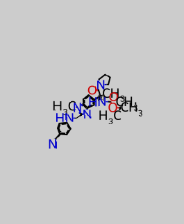 Cn1c(CNc2ccc(C#N)cc2)nc2cc([C@@](C)(NC(=O)OC(C)(C)C)C(=O)N3CCCC3)ccc21